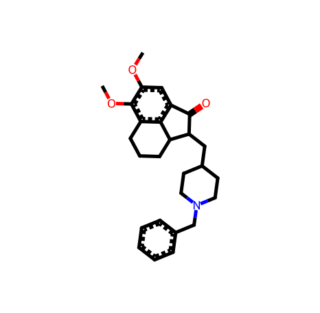 COc1cc2c3c(c1OC)CCCC3C(CC1CCN(Cc3ccccc3)CC1)C2=O